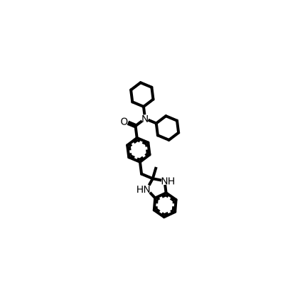 CC1(Cc2ccc(C(=O)N(C3CCCCC3)C3CCCCC3)cc2)Nc2ccccc2N1